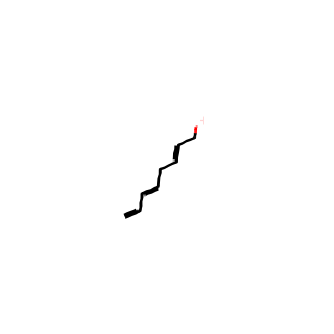 C=C/C=C/C/C=C/CO